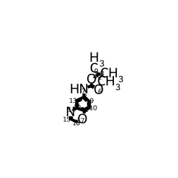 CC(C)(C)OC(=O)Nc1ccc2c(c1)N=CCO2